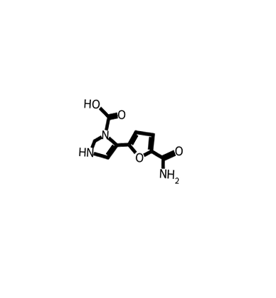 NC(=O)c1ccc(C2=CNCN2C(=O)O)o1